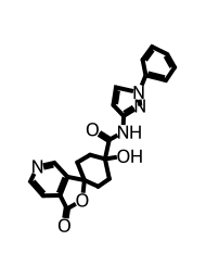 O=C1OC2(CCC(O)(C(=O)Nc3ccn(-c4ccccc4)n3)CC2)c2cnccc21